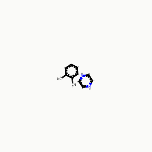 N#Cc1ccccc1C#N.c1cnccn1